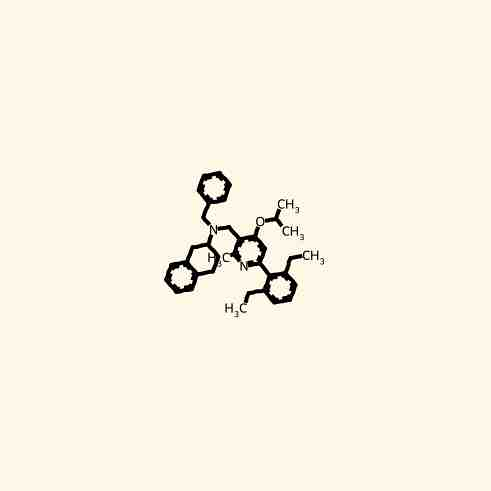 CCc1cccc(CC)c1-c1cc(OC(C)C)c(CN(Cc2ccccc2)C2CCc3ccccc3C2)c(C)n1